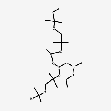 CCOB(C)OB(OB(C)OC(C)(C)COC(C)(C)CC)OC(C)(C)COC(C)(C)S